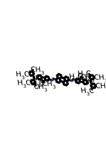 Cc1cc(C)cc(N(c2cc(C)cc(C)c2)c2ccc3c(c2)C(C)(C)c2cc(/C=C/c4ccc5c6cccc7c(/C=C/c8ccc9c(c8)C(C)(C)c8cc(N(c%10cc(C)cc(C)c%10)c%10cc(C)cc(C)c%10)ccc8-9)ccc(c8cccc4c85)c76)ccc2-3)c1